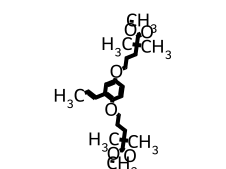 CC=Cc1cc(OCCCC(C)(C)C(=O)OC)ccc1OCCCC(C)(C)C(=O)OC